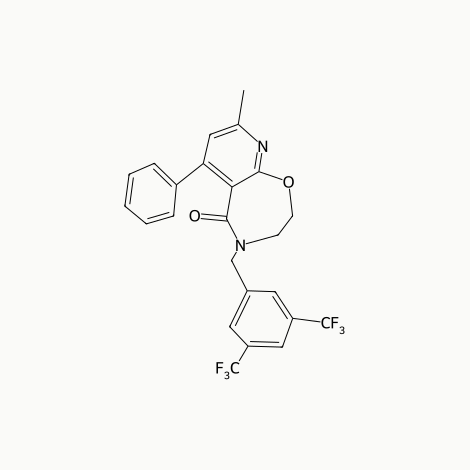 Cc1cc(-c2ccccc2)c2c(n1)OCCN(Cc1cc(C(F)(F)F)cc(C(F)(F)F)c1)C2=O